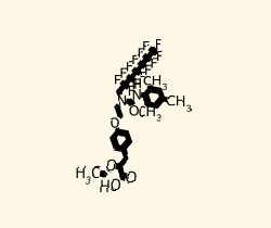 CCOC(Cc1ccc(OCCN(CC(F)(F)C(F)(F)C(F)(F)C(F)(F)C(F)(F)C(F)(F)F)C(=O)Nc2c(C)cc(C)cc2C)cc1)C(=O)O